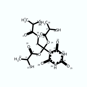 CC(S)C(=O)OCC(OC(=O)C(C)S)(OC(=O)C(C)S)n1c(=O)[nH]c(=O)[nH]c1=O